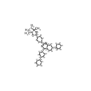 CC1(C)OB(c2ccc(-c3nc(-c4ccc(-c5ccccc5)cc4)c4ccc(-c5ccccc5)cc4n3)cc2)OC1(C)C